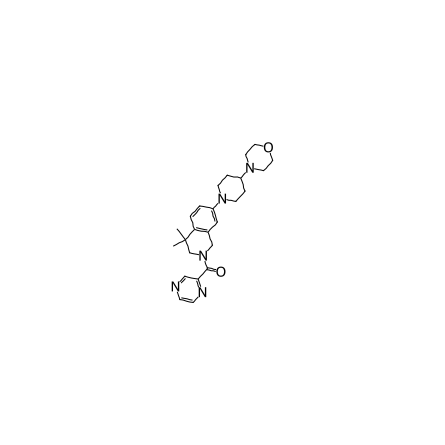 CC1(C)CN(C(=O)c2cnccn2)Cc2cc(N3CCC(N4CCOCC4)CC3)ccc21